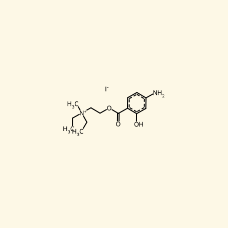 CC[N+](C)(CC)CCOC(=O)c1ccc(N)cc1O.[I-]